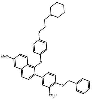 COc1ccc2c(Oc3ccc(OCCN4CCCCC4)cc3)c(-c3ccc(OCc4ccccc4)c(C(=O)O)c3)ccc2c1